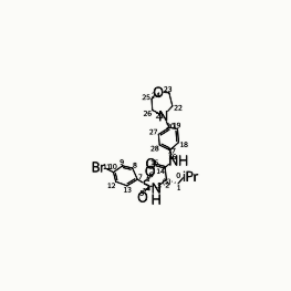 CC(C)C[C@H](NS(=O)(=O)c1ccc(Br)cc1)C(=O)Nc1ccc(N2CCOCC2)cc1